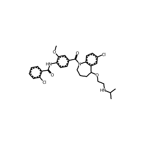 COc1cc(C(=O)N2CCCC(OCCNC(C)C)c3cc(Cl)ccc32)ccc1NC(=O)c1ccccc1Cl